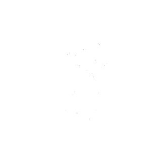 Nc1nc(N)c2ncn(COC(CO)C(O)CO)c2n1